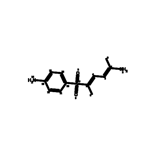 C/C(N)=C\C=C(/C)S(=O)(=O)c1ccc(N)cc1